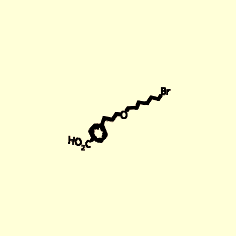 O=C(O)c1ccc(CCCOCCCCCCBr)cc1